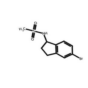 CS(=O)(=O)NC1CCc2cc(Br)ccc21